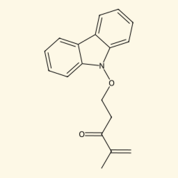 C=C(C)C(=O)CCOn1c2ccccc2c2ccccc21